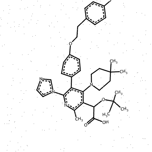 Cc1nc(-n2ccnc2)c(-c2ccc(OCCc3ccc(F)cc3)cc2)c(N2CCC(C)(C)CC2)c1C(OC(C)(C)C)C(=O)O